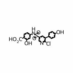 O=C(O)c1ccc(NS(=O)(=O)c2cnc(Cl)c(-c3ccc(O)cc3)c2)cc1O